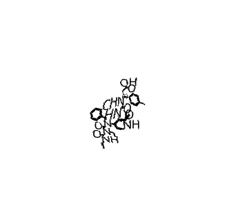 CCNC(=O)N(CC)C(=O)N(Cc1ccccc1Cl)c1cc[nH]c(=O)c1NC(=O)N[C@@H](CC(=O)O)c1ccc(C)cc1